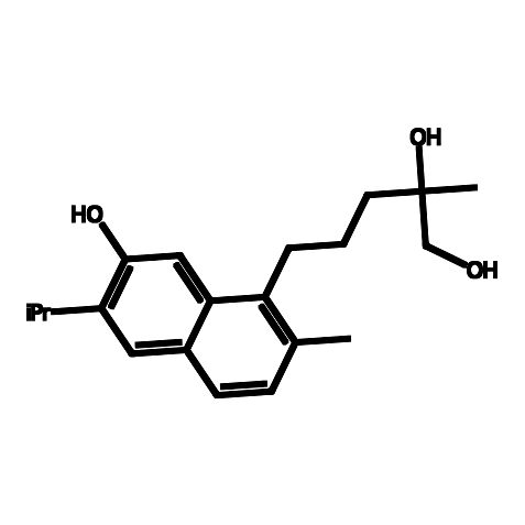 Cc1ccc2cc(C(C)C)c(O)cc2c1CCCC(C)(O)CO